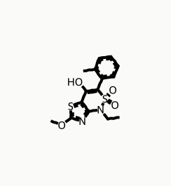 CCN1c2nc(OC)sc2C(O)=C(c2ccccc2C)S1(=O)=O